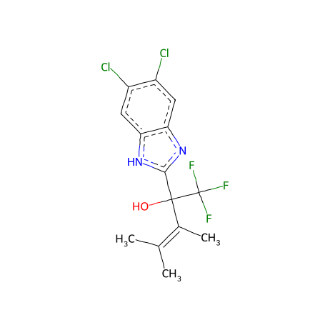 CC(C)=C(C)C(O)(c1nc2cc(Cl)c(Cl)cc2[nH]1)C(F)(F)F